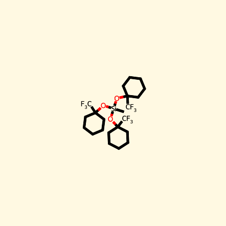 C[Si](OC1(C(F)(F)F)CCCCC1)(OC1(C(F)(F)F)CCCCC1)OC1(C(F)(F)F)CCCCC1